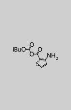 CC(C)COC(=O)OC(=O)c1sccc1N